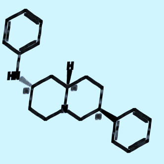 c1ccc(N[C@H]2CCN3C[C@H](c4ccccc4)CC[C@H]3C2)cc1